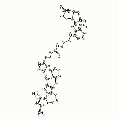 C=N/N=C(/C)N1CCOCc2c1sc(C#Cc1cnn(CCCC(=O)OCCCOc3cccc(C)c3CN(C=O)C3CCC(=O)NC3=O)c1)c2Cc1ccccc1